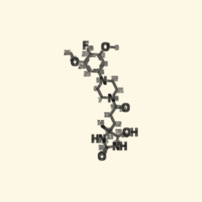 COc1cc(N2CCN(C(=O)CC[C@@]3(C)NC(=O)NC3O)CC2)cc(OC)c1F